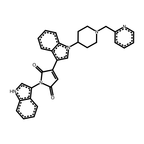 O=C1C=C(c2cn(C3CCN(Cc4ccccn4)CC3)c3ccccc23)C(=O)N1c1c[nH]c2ccccc12